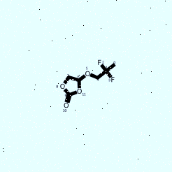 CC(F)(F)COC1COC(=O)O1